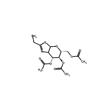 BCC1=NC2C(O[C@H](COC(C)=O)[C@@H](OC(C)=O)[C@@H]2OC(C)=O)S1